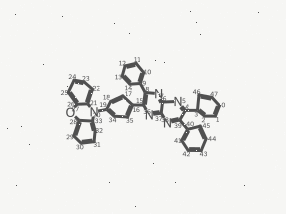 c1ccc(-c2nc3nc(-c4ccccc4)c(-c4ccc(N5c6ccccc6Oc6ccccc65)cc4)nc3nc2-c2ccccc2)cc1